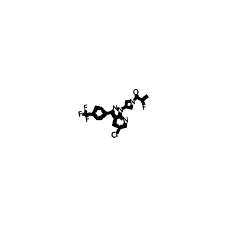 C=C(F)C(=O)N1CC(n2nc(-c3ccc(C(F)(F)F)cc3)c3cc(Cl)cnc32)C1